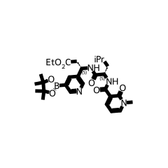 CCOC(=O)C[C@H](NC(=O)[C@H](CC(C)C)NC(=O)c1cccn(C)c1=O)c1cncc(B2OC(C)(C)C(C)(C)O2)c1